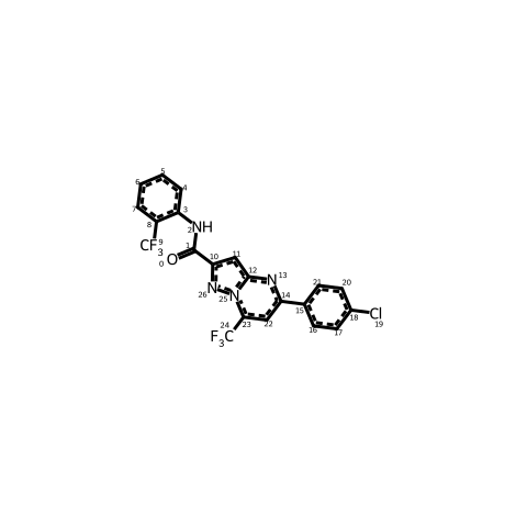 O=C(Nc1ccccc1C(F)(F)F)c1cc2nc(-c3ccc(Cl)cc3)cc(C(F)(F)F)n2n1